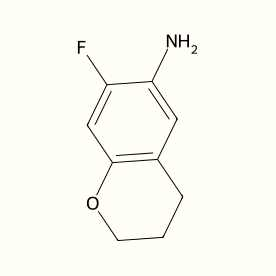 Nc1cc2c(cc1F)OCCC2